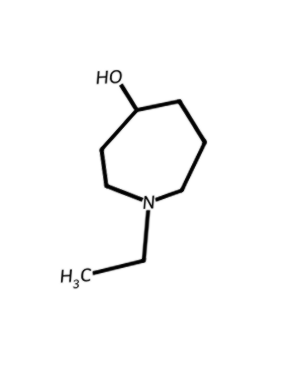 CCN1CCCC(O)CC1